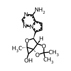 CC1(C)O[C@H]2[C@H](c3ccc4c(N)ncnn34)O[C@]3(C)C(O)[C@]23O1